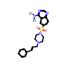 CCN(CC)c1ncnc2ccc(S(=O)(=O)N3CCN(CC=Cc4ccccc4)CC3)cc12